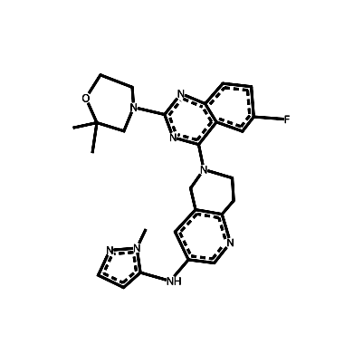 Cn1nccc1Nc1cnc2c(c1)CN(c1nc(N3CCOC(C)(C)C3)nc3ccc(F)cc13)CC2